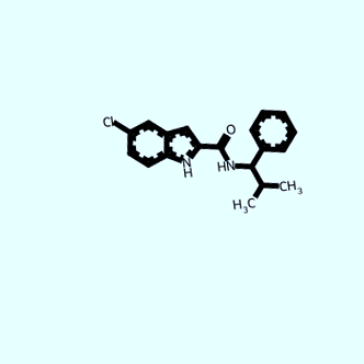 CC(C)C(NC(=O)c1cc2cc(Cl)ccc2[nH]1)c1ccccc1